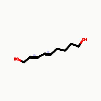 OC/C=C/C=C/CCCCO